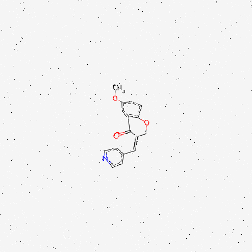 COc1ccc2c(c1)C(=O)C(=Cc1ccncc1)CO2